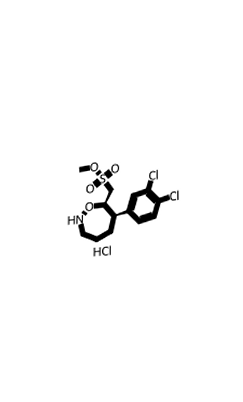 COS(=O)(=O)C[C@@H]1ONCCC[C@@H]1c1ccc(Cl)c(Cl)c1.Cl